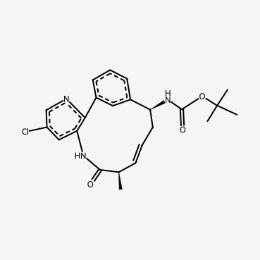 C[C@@H]1/C=C/C[C@H](NC(=O)OC(C)(C)C)c2cccc(c2)-c2ncc(Cl)cc2NC1=O